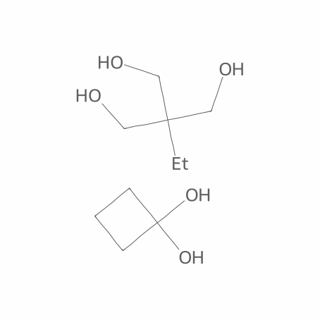 CCC(CO)(CO)CO.OC1(O)CCC1